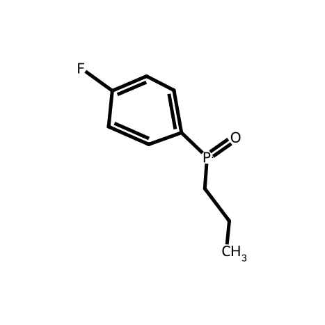 CCC[P](=O)c1ccc(F)cc1